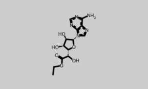 CCOC(=O)C(O)[C@H]1O[C@@H](n2cnc3c(N)ncnc32)[C@H](O)[C@@H]1O